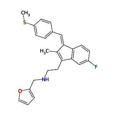 CSc1ccc(/C=C2\C(C)=C(CCNCc3ccco3)c3cc(F)ccc32)cc1